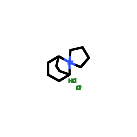 C1CC2CCC(C1)[N+]21CCCC1.Cl.[Cl-]